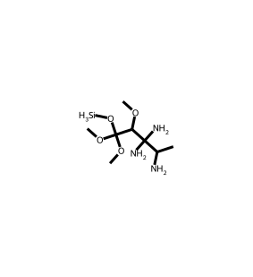 COC(C(OC)(OC)O[SiH3])C(N)(N)C(C)N